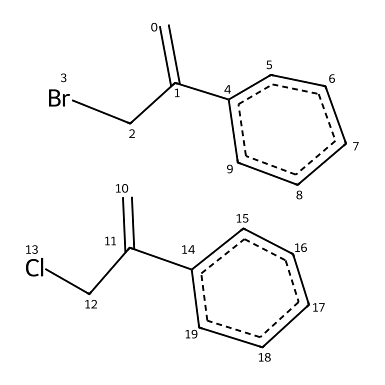 C=C(CBr)c1ccccc1.C=C(CCl)c1ccccc1